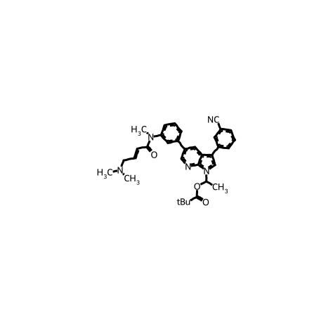 CC(OC(=O)C(C)(C)C)n1cc(-c2cccc(C#N)c2)c2cc(-c3cccc(N(C)C(=O)C=CCN(C)C)c3)cnc21